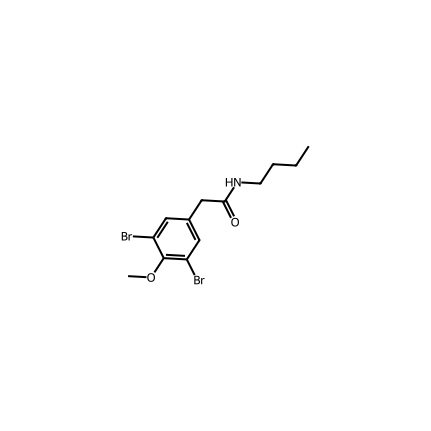 CCCCNC(=O)Cc1cc(Br)c(OC)c(Br)c1